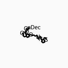 CCCCCCCCCCCC(=O)OCN1C(=O)CCc2ccc(OCCCCN3CCN(c4cccc5sccc45)CC3)cc21